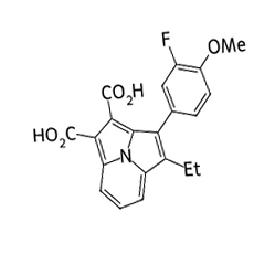 CCc1c(-c2ccc(OC)c(F)c2)c2c(C(=O)O)c(C(=O)O)c3cccc1n32